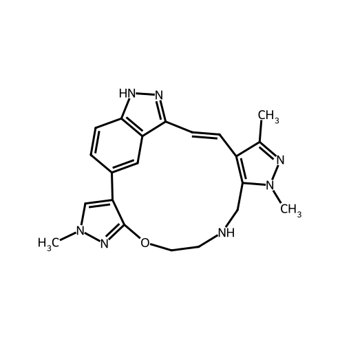 Cc1nn(C)c2c1/C=C/c1n[nH]c3ccc(cc13)-c1cn(C)nc1OCCNC2